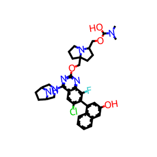 CN(C)C(O)OCC1CCC2(COc3nc(N4CC5CCC(C4)N5)c4cc(Cl)c(-c5cc(O)cc6ccccc56)c(F)c4n3)CCCN12